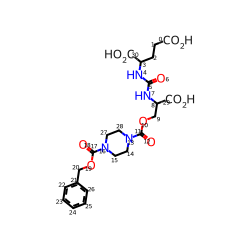 O=C(O)CCC(NC(=O)NC(COC(=O)N1CCN(C(=O)OCc2ccccc2)CC1)C(=O)O)C(=O)O